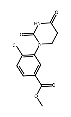 COC(=O)c1ccc(Cl)c(N2CCC(=O)NC2=O)c1